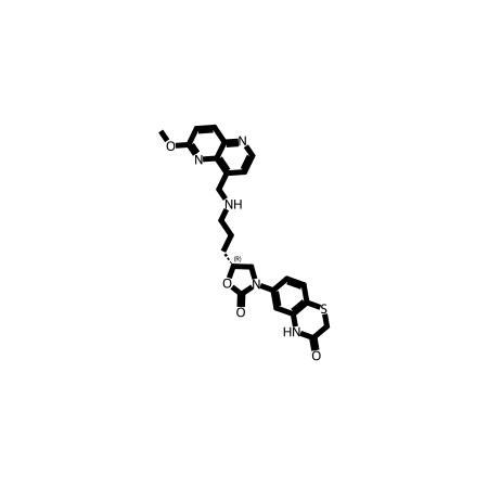 COc1ccc2nccc(CNCCC[C@@H]3CN(c4ccc5c(c4)NC(=O)CS5)C(=O)O3)c2n1